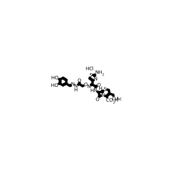 CC(=O)OCC1=C(C(=O)O)N2C(=O)C(NC(=O)C(=NOCC(=O)NN=Cc3ccc(O)c(O)c3)c3csc(N)n3)[C@@H]2SC1.Cl